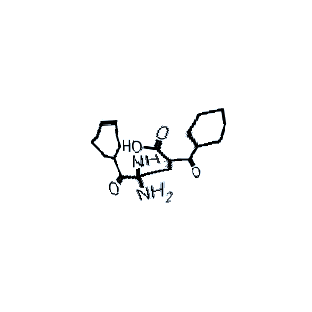 NC(N)(CC(C(=O)O)C(=O)C1CCCCC1)C(=O)C1CCCCC1